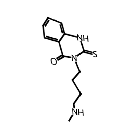 CNCCCCn1c(=S)[nH]c2ccccc2c1=O